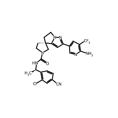 C[C@@H](NC(=O)N1CC[C@@]2(CCn3nc(-c4cnc(N)c(C(F)(F)F)c4)cc32)C1)c1ccc(C#N)cc1Cl